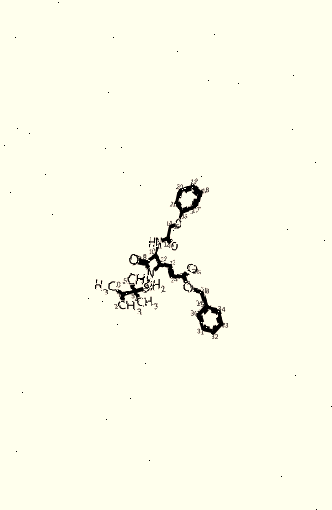 CC(C)C(C)(C)[SiH2]N1C(=O)[C@@H](NC(=O)COc2ccccc2)C1C=CC(=O)OCc1ccccc1